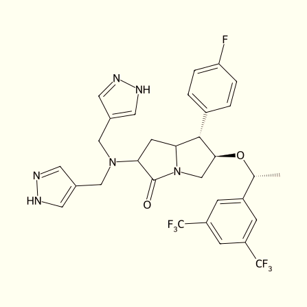 C[C@@H](O[C@H]1CN2C(=O)C(N(Cc3cn[nH]c3)Cc3cn[nH]c3)CC2[C@@H]1c1ccc(F)cc1)c1cc(C(F)(F)F)cc(C(F)(F)F)c1